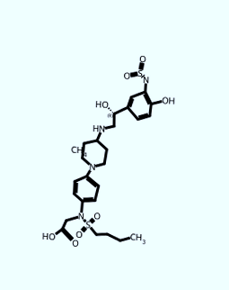 C.CCCCS(=O)(=O)N(CC(=O)O)c1ccc(N2CCC(NC[C@H](O)c3ccc(O)c(N=S(=O)=O)c3)CC2)cc1